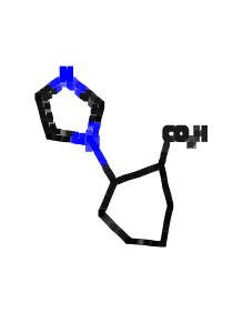 O=C(O)C1CCCCC1n1ccnc1